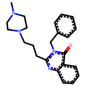 CN1CCN(CCCc2nc3ccccc3c(=O)n2Cc2ccccc2)CC1